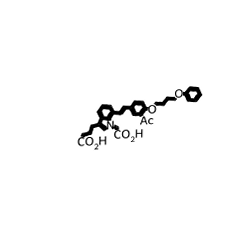 CC(=O)c1cc(/C=C/c2cccc3c(CCCC(=O)O)cn(CC(=O)O)c23)ccc1OCCCCOc1ccccc1